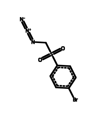 [N-]=[N+]=NCS(=O)(=O)c1ccc(Br)cc1